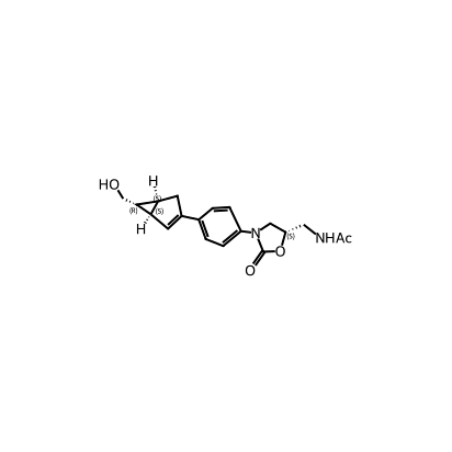 CC(=O)NC[C@H]1CN(c2ccc(C3=C[C@H]4[C@H](CO)[C@H]4C3)cc2)C(=O)O1